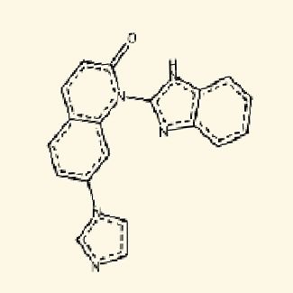 O=c1ccc2ccc(-n3ccnc3)cc2n1-c1nc2ccccc2[nH]1